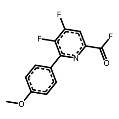 COc1ccc(-c2nc(C(=O)F)cc(F)c2F)cc1